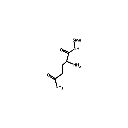 CSNC(=O)C(N)CCC(N)=O